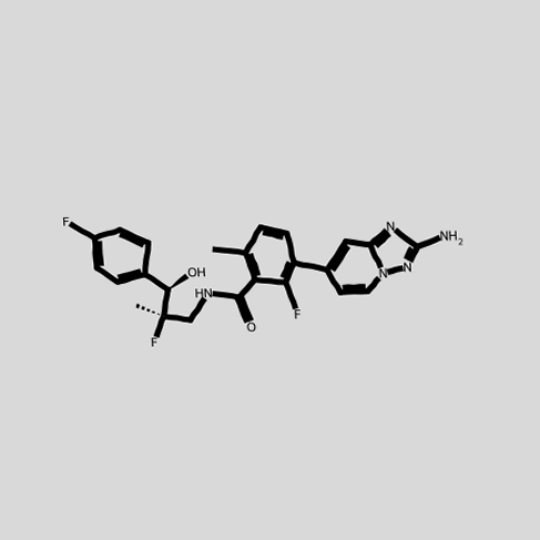 Cc1ccc(-c2ccn3nc(N)nc3c2)c(F)c1C(=O)NC[C@@](C)(F)[C@H](O)c1ccc(F)cc1